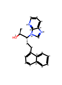 C[C@H](O)[C@@H](CCc1cccc2ccccc12)n1cnc2cccnc21